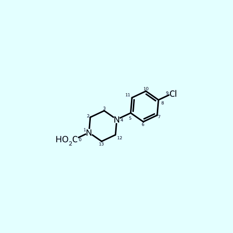 O=C(O)N1CCN(c2ccc(Cl)cc2)CC1